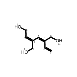 C=C/C(=C\C(=C/CO)CO)CO